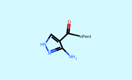 CCCCCC(=O)c1c[nH]nc1N